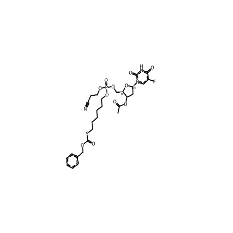 CC(=O)OC1C[C@H](n2cc(F)c(=O)[nH]c2=O)O[C@@H]1COP(=O)(OCCC#N)OCCCCCCSC(=O)OCc1ccccc1